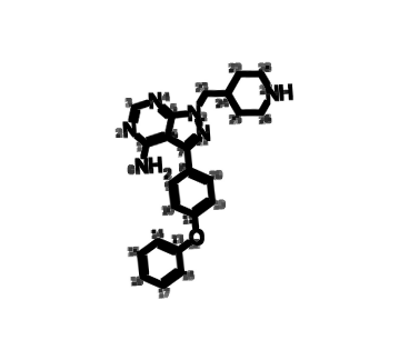 Nc1ncnc2c1c(-c1ccc(Oc3ccccc3)cc1)nn2CC1CCNCC1